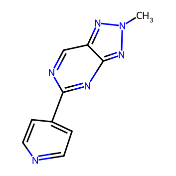 Cn1nc2cnc(-c3ccncc3)nc2n1